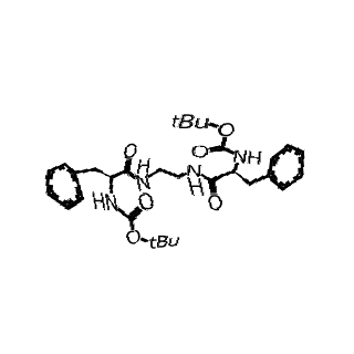 CC(C)(C)OC(=O)N[C@@H](Cc1ccccc1)C(=O)NCCNC(=O)[C@H](Cc1ccccc1)NC(=O)OC(C)(C)C